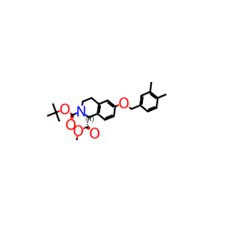 COC(=O)[C@H]1c2ccc(OCc3ccc(C)c(C)c3)cc2CCN1C(=O)OC(C)(C)C